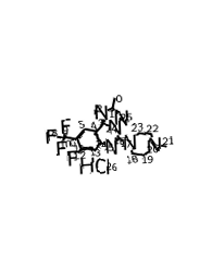 Cc1nc2c3cc(C(F)(F)F)c(F)cc3nc(N3CCN(C)CC3)n2n1.Cl